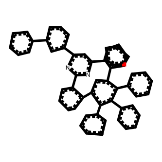 c1ccc(-c2cccc(-c3cc(-c4ccccc4)nc(-c4ccccc4-c4cc(-c5ccccc5)c(-c5ccccc5)c(-c5ccccc5)c4-c4ccccc4)n3)c2)cc1